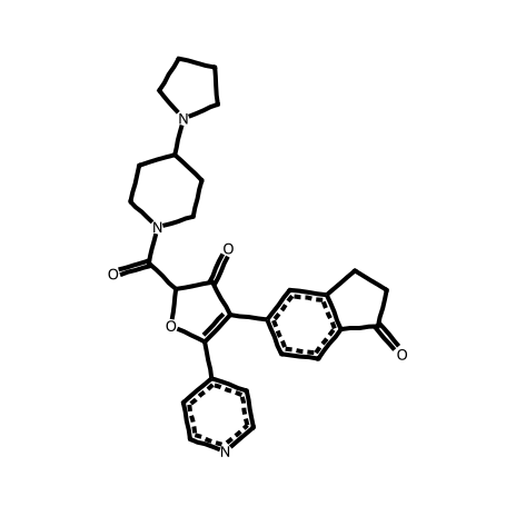 O=C1CCc2cc(C3=C(c4ccncc4)OC(C(=O)N4CCC(N5CCCC5)CC4)C3=O)ccc21